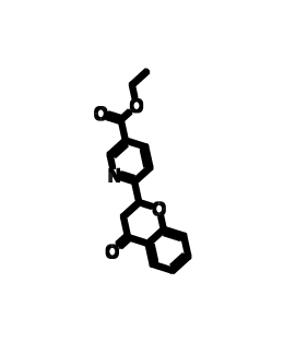 CCOC(=O)c1ccc(C2CC(=O)c3ccccc3O2)nc1